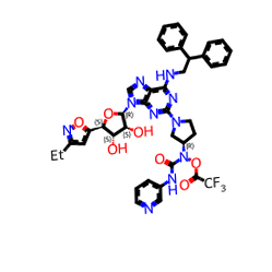 CCc1cc([C@H]2O[C@@H](n3cnc4c(NCC(c5ccccc5)c5ccccc5)nc(N5CC[C@@H](N(OC(=O)C(F)(F)F)C(=O)Nc6cccnc6)C5)nc43)[C@@H](O)[C@@H]2O)on1